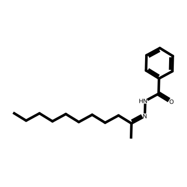 CCCCCCCCCC(C)=NNC(=O)c1ccccc1